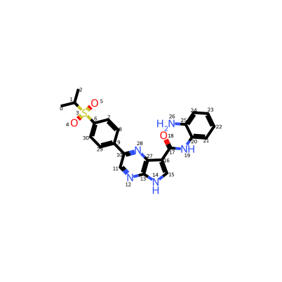 CC(C)S(=O)(=O)c1ccc(-c2cnc3[nH]cc(C(=O)Nc4ccccc4N)c3n2)cc1